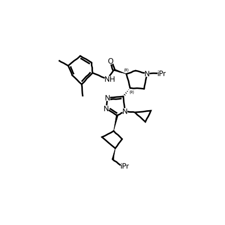 Cc1ccc(NC(=O)[C@H]2CN(C(C)C)C[C@@H]2c2nnc([C@H]3C[C@@H](CC(C)C)C3)n2C2CC2)c(C)c1